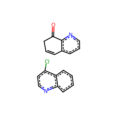 Clc1ccnc2ccccc12.O=C1CC=Cc2cccnc21